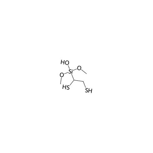 CO[Si](O)(OC)C(S)CS